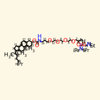 [2H]CC(COCCOCCOCCOCCCNC(=O)O[C@H]1CC[C@@]2(C)C(=CCC3C4CCC([C@H](C)CCCC(C)C)[C@@]4(C)CCC32)C1)OP(O/C=N/CC)N(C(C)C)C(C)C